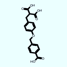 O=C(O)c1ccc(COc2ccc(CC(C(=O)O)C(=O)O)cc2)cc1